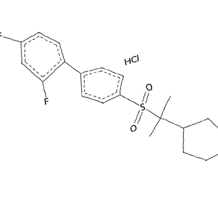 CC(C)(C1CCNCC1)S(=O)(=O)c1ccc(-c2ccc(F)cc2F)cc1.Cl